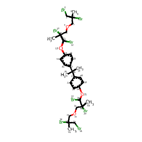 CC(Br)(CBr)COCC(C)(Br)C(Br)Oc1ccc(C(C)(C)c2ccc(OC(Br)C(C)(Br)COCC(C)(Br)CBr)cc2)cc1